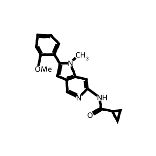 COc1ccccc1-c1cc2cnc(NC(=O)C3CC3)cc2n1C